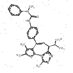 Cc1sc2c(c1C)C(c1ccc(NC(=O)N(C)c3ccccc3)cc1)=NC([C@H](C)C(=O)O)c1nnc(C)n1-2